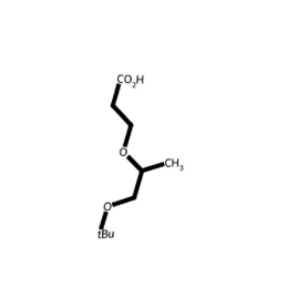 CC(COC(C)(C)C)OCCC(=O)O